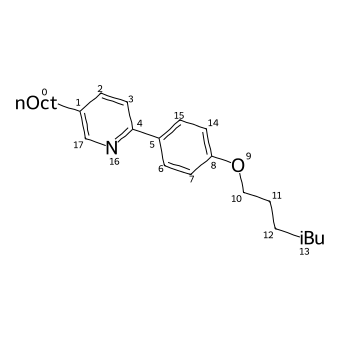 CCCCCCCCc1ccc(-c2ccc(OCCCC(C)CC)cc2)nc1